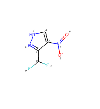 O=[N+]([O-])c1c[nH]nc1C(F)F